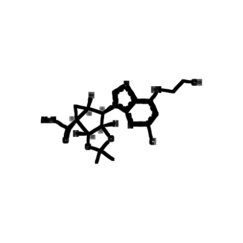 CNC(=O)[C@@]12C[C@@H]1[C@@H](n1cnc3c(NCCO)cc(Cl)nc31)[C@@H]1OC(C)(C)O[C@@H]12